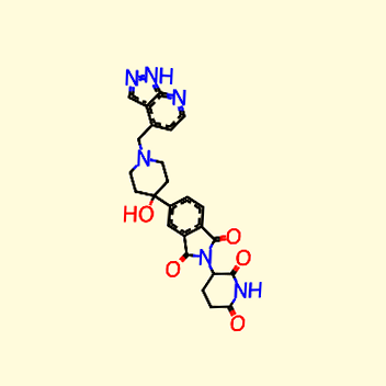 O=C1CCC(N2C(=O)c3ccc(C4(O)CCN(Cc5ccnc6[nH]ncc56)CC4)cc3C2=O)C(=O)N1